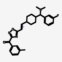 Cc1cccc(C(=O)c2noc(/C=C/C3CCC(C(c4cccc(F)c4)N(C)C)CC3)n2)c1